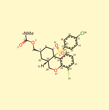 CNC(=O)OC[C@H]1CC[C@]2(S(=O)(=O)c3ccc(Cl)cc3)c3c(F)ccc(F)c3OC[C@@H]2C1